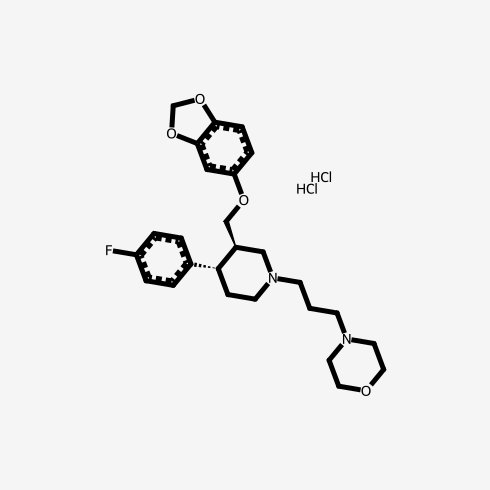 Cl.Cl.Fc1ccc([C@H]2CCN(CCCN3CCOCC3)C[C@@H]2COc2ccc3c(c2)OCO3)cc1